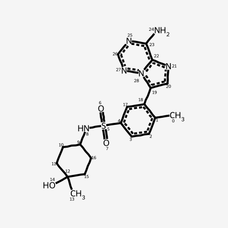 Cc1ccc(S(=O)(=O)NC2CCC(C)(O)CC2)cc1-c1cnc2c(N)ncnn12